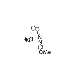 COc1ccc(N2CCN(CCC3CCc4ccccc43)CC2)cc1.Cl.Cl